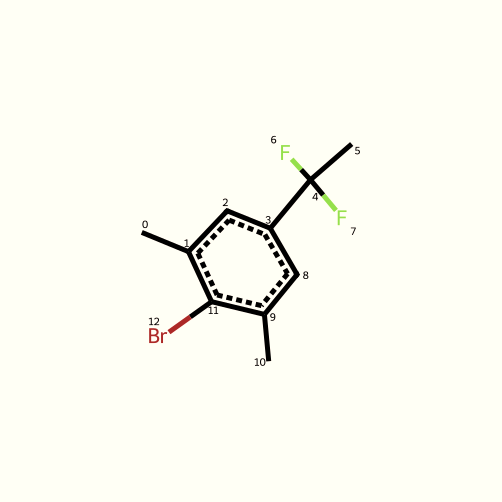 Cc1cc(C(C)(F)F)cc(C)c1Br